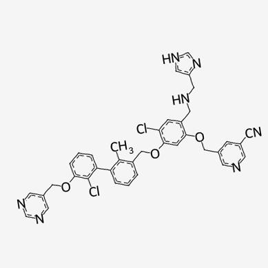 Cc1c(COc2cc(OCc3cncc(C#N)c3)c(CNCc3c[nH]cn3)cc2Cl)cccc1-c1cccc(OCc2cncnc2)c1Cl